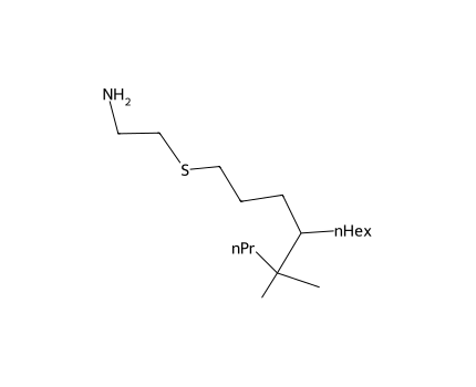 CCCCCCC(CCCSCCN)C(C)(C)CCC